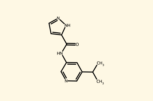 CC(C)c1cncc(NC(=O)c2ccn[nH]2)c1